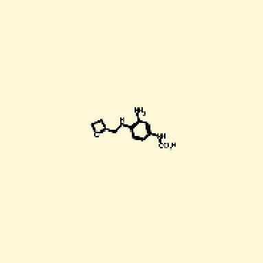 Nc1cc(NC(=O)O)ccc1NC[C@@H]1CCO1